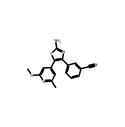 COc1cc(-c2sc(N)nc2-c2cccc(C#N)c2)cc(C)n1